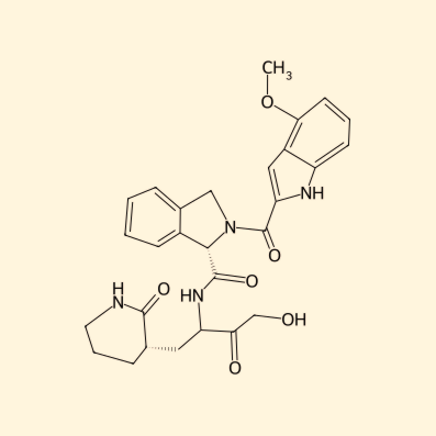 COc1cccc2[nH]c(C(=O)N3Cc4ccccc4[C@H]3C(=O)NC(C[C@@H]3CCCNC3=O)C(=O)CO)cc12